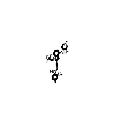 COc1cc(C)ccc1NCC#Cc1cc2c(NC3=C(F)CN(C)CC3)cccc2n1CC(F)(F)F